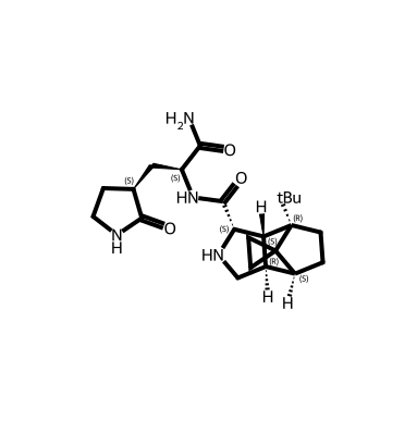 CC(C)(C)[C@@]12CC[C@@H]([C@H]3CN[C@H](C(=O)N[C@@H](C[C@@H]4CCNC4=O)C(N)=O)[C@@H]31)C21CC1